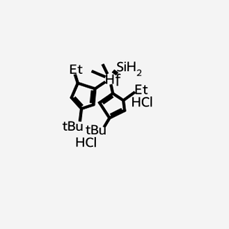 CCC1C=C(C(C)(C)C)C=[C]1[Hf]([CH3])([CH3])(=[SiH2])[C]1=CC(C(C)(C)C)=CC1CC.Cl.Cl